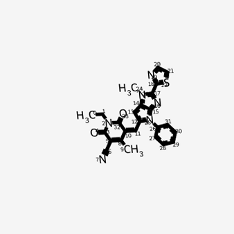 CCN1C(=O)C(C#N)=C(C)/C(=C/c2cc3c(nc(-c4nccs4)n3C)n2-c2ccccc2)C1=O